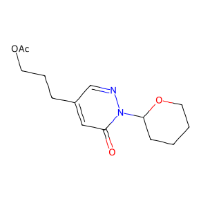 CC(=O)OCCCc1cnn(C2CCCCO2)c(=O)c1